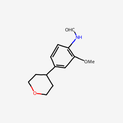 COc1cc(C2CCOCC2)ccc1NC=O